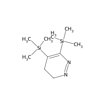 C[Si](C)(C)C1=C([Si](C)(C)C)N=NCC1